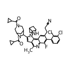 Cc1nc2c(F)c(-c3cccc(Cl)c3Cl)c(CCC#N)cc2c2c1cc(C1C3CC(CN(C(=O)C4CC4)C3)N1C(=O)C1CC1)n2C1C2CNC1C2